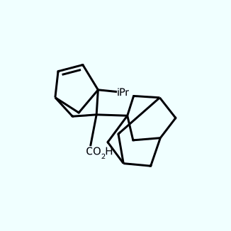 CC(C)C12C=CC(C1)CC2(C(=O)O)C12CC3CC(CC(C3)C1)C2